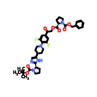 CC(C)(C)OC(=O)N1CCC[C@H]1c1ncc(C2CCN(c3c(F)cc(C(=O)COC(=O)[C@@H]4CCCN4C(=O)OCc4ccccc4)cc3F)CC2)[nH]1